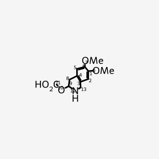 COc1cc2c(cc1OC)CC(OC(=O)O)NC2